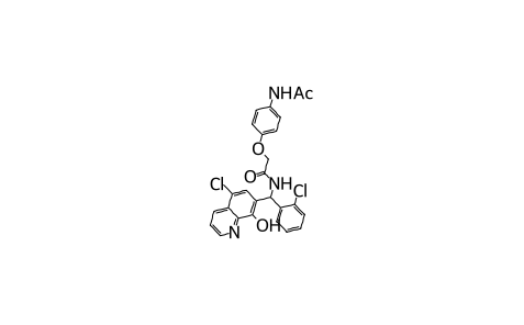 CC(=O)Nc1ccc(OCC(=O)NC(c2ccccc2Cl)c2cc(Cl)c3cccnc3c2O)cc1